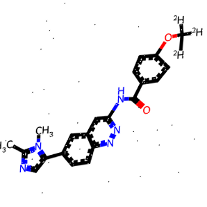 [2H]C([2H])([2H])Oc1ccc(C(=O)Nc2cc3cc(-c4cnc(C)n4C)ccc3nn2)cc1